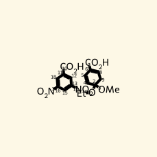 CCOC1(OC)C=CC(C(=O)O)=CC1.O=C(O)c1cc([N+](=O)[O-])cc([N+](=O)[O-])c1